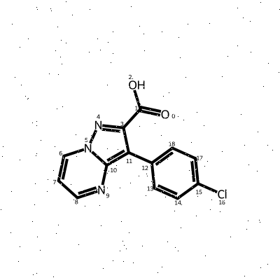 O=C(O)c1nn2cccnc2c1-c1ccc(Cl)cc1